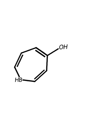 OC1=CC=CBC=C1